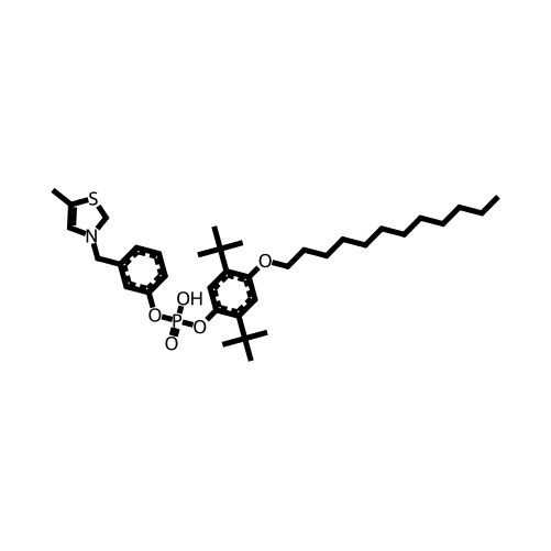 CCCCCCCCCCCCOc1cc(C(C)(C)C)c(OP(=O)(O)Oc2cccc(CN3C=C(C)SC3)c2)cc1C(C)(C)C